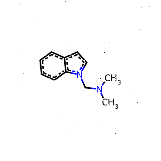 CN(C)Cn1ccc2ccccc21